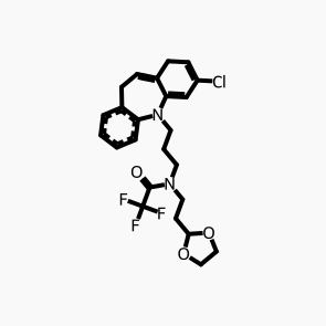 O=C(N(CCCN1C2=CC(Cl)=CCC2=CCc2ccccc21)CCC1OCCO1)C(F)(F)F